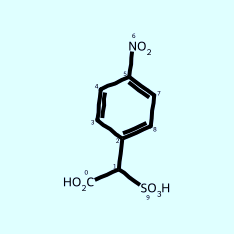 O=C(O)C(c1ccc([N+](=O)[O-])cc1)S(=O)(=O)O